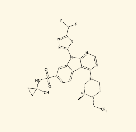 C[C@H]1CN(c2ncnc3c2c2ccc(S(=O)(=O)NC4(C#N)CC4)cc2n3-c2nnc(C(F)F)s2)CCN1CC(F)(F)F